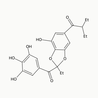 CCC(CC)C(=O)c1cc(O)c2c(c1)OC(CC)(C(=O)c1cc(O)c(O)c(O)c1)O2